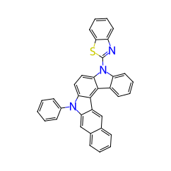 c1ccc(-n2c3cc4ccccc4cc3c3c4c5ccccc5n(-c5nc6ccccc6s5)c4ccc32)cc1